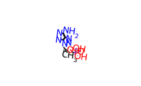 C[C@H](Cn1nnc2c(N)ncnc21)OCP(=O)(O)O